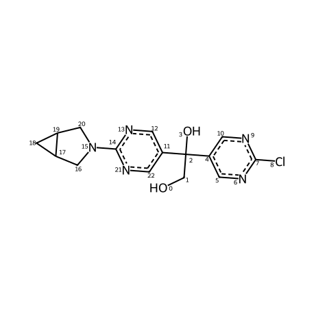 OCC(O)(c1cnc(Cl)nc1)c1cnc(N2CC3CC3C2)nc1